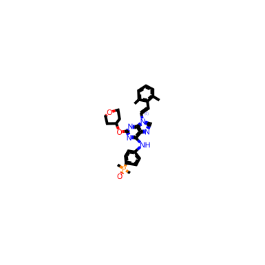 Cc1cccc(C)c1/C=C/n1cnc2c(Nc3ccc(P(C)(C)=O)cc3)nc(OC3CCOCC3)nc21